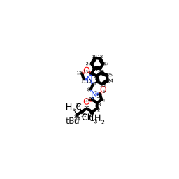 C=C(CC1CC(=O)N(CCN2CCOC2(c2ccccc2)c2ccccc2)C1=O)CC(C)(C)CC(C)(C)C